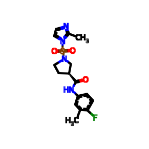 Cc1cc(NC(=O)[C@H]2CCN(S(=O)(=O)n3ccnc3C)C2)ccc1F